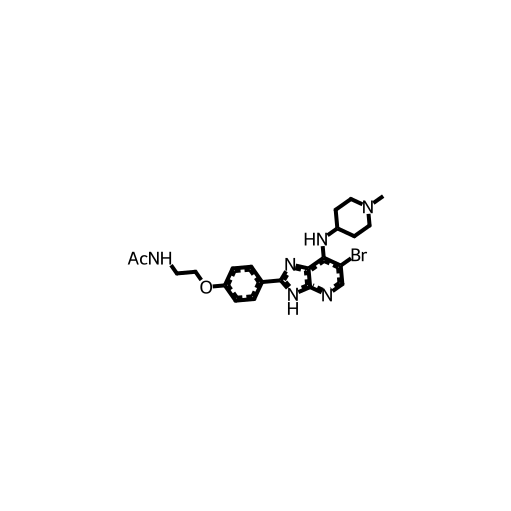 CC(=O)NCCOc1ccc(-c2nc3c(NC4CCN(C)CC4)c(Br)cnc3[nH]2)cc1